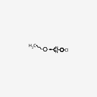 C=CCCC[C@H]1CC[C@H](C#Cc2cnc(-c3ccc(Cl)cc3)nc2)CC1